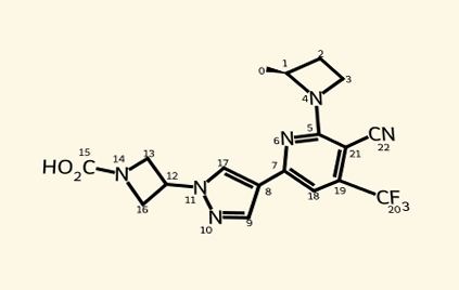 C[C@H]1CCN1c1nc(-c2cnn(C3CN(C(=O)O)C3)c2)cc(C(F)(F)F)c1C#N